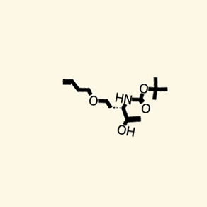 C=CCCOCC[C@H](NC(=O)OC(C)(C)C)C(=C)O